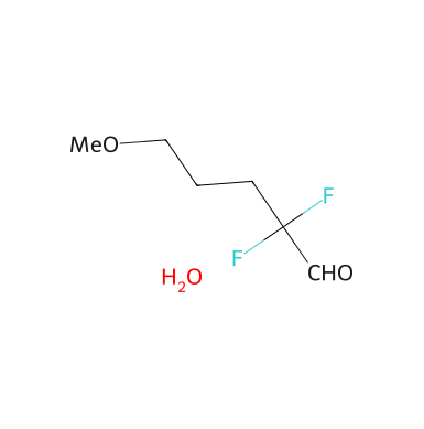 COCCCC(F)(F)C=O.O